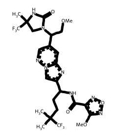 COCC(c1cnn2cc(C(CCC(C)(C)C(F)(F)F)NC(=O)c3nonc3OC)nc2c1)N1CC(C)(C(F)(F)F)NC1=O